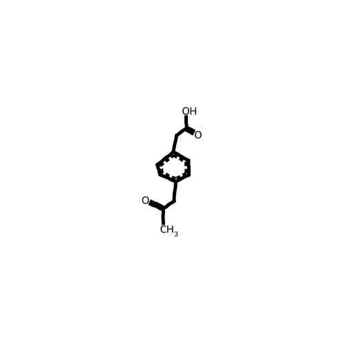 CC(=O)Cc1ccc(CC(=O)O)cc1